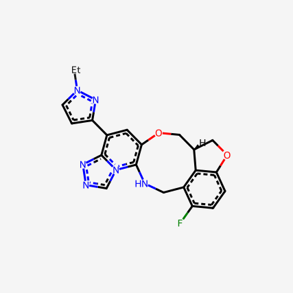 CCn1ccc(-c2cc3c(n4cnnc24)NCc2c(F)ccc4c2[C@@H](CO4)CO3)n1